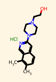 Cc1ccc2cc(N3CCN(CCO)CC3)ncc2c1C.Cl